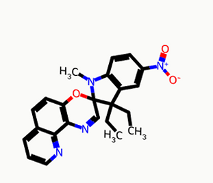 CCC1(CC)c2cc([N+](=O)[O-])ccc2N(C)C12C=Nc1c(ccc3cccnc13)O2